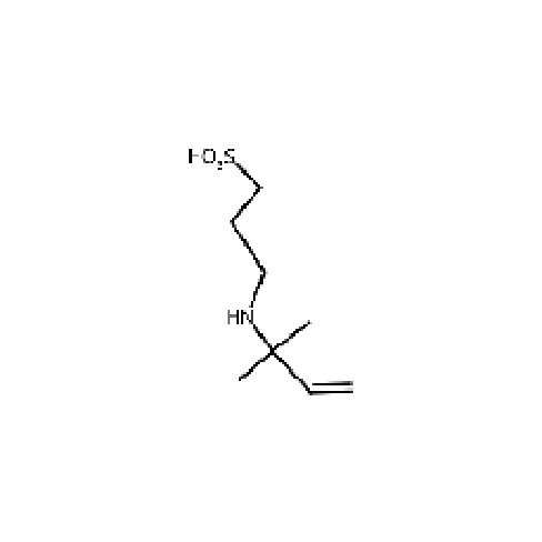 C=CC(C)(C)NCCCS(=O)(=O)O